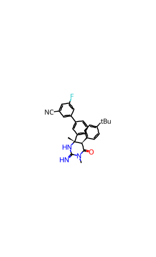 CN1C(=N)N[C@](C)(c2cccc(-c3cc(F)cc(C#N)c3)c2)[C@@H](c2ccc(C(C)(C)C)cc2)C1=O